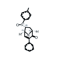 Cc1ccc([S+]([O-])[C@@H]2C[C@@H]3N[C@H]2C=C(c2ccccc2)C3=O)cc1